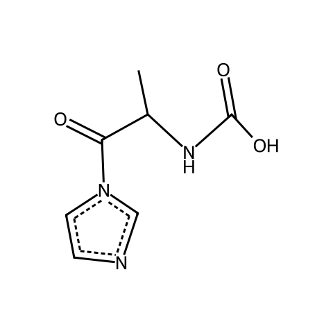 CC(NC(=O)O)C(=O)n1ccnc1